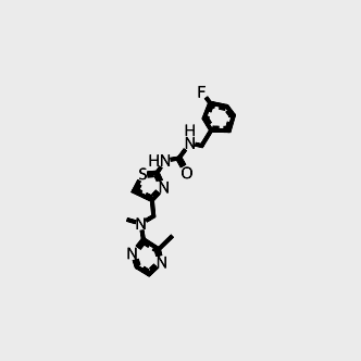 Cc1nccnc1N(C)Cc1csc(NC(=O)NCc2cccc(F)c2)n1